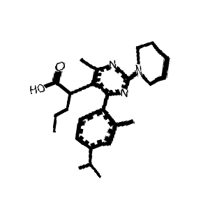 CCCC(C(=O)O)c1c(C)nc(N2CCCCC2)nc1-c1ccc(C(C)C)cc1C